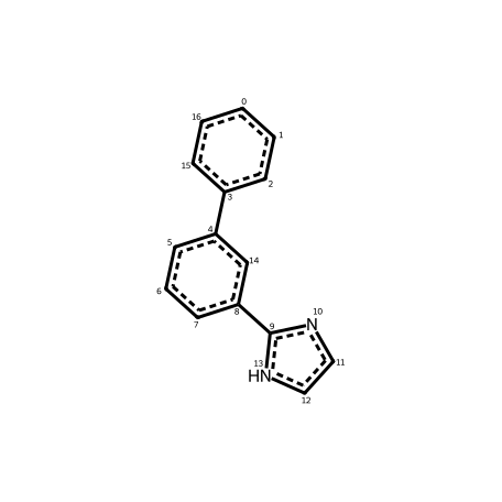 c1ccc(-c2cccc(-c3ncc[nH]3)c2)cc1